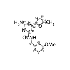 COc1cccc(CNC(=O)c2cc(-c3ccc(C)o3)nc(N)n2)c1